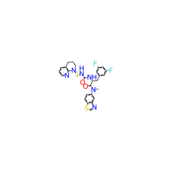 CN(C(=O)C(Cc1cc(F)cc(F)c1)NC(=O)NSN1CCCc2cccnc21)c1ccc2scnc2c1